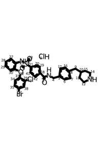 Cl.O=C(NCc1ccc(CC2CCNCC2)cc1)c1ccc(S(=O)(=O)Nc2ccccc2Oc2ccc(Br)cc2Cl)cc1